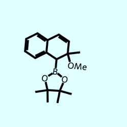 COC1(C)C=Cc2ccccc2C1B1OC(C)(C)C(C)(C)O1